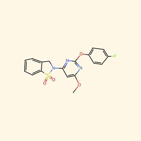 COc1cc(N2Cc3ccccc3S2(=O)=O)nc(Oc2ccc(F)cc2)n1